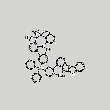 CC(C)(C)c1ccc([Si](c2ccccc2)(c2ccccc2)c2ccc(C(C)(C)C)c(-c3cccc4c3oc3nc5ccccc5n34)c2)cc1-c1cccc2c1Oc1ccccc1C(C)(C)C2(C)C